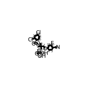 N#Cc1ccc(OCC2(COP(=O)(O)O)CN([S+]([O-])c3ccc(Cl)cc3Cl)C2)cc1F